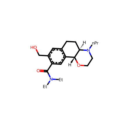 CCCN1CCO[C@@H]2c3cc(C(=O)N(CC)CC)c(CO)cc3CC[C@H]21